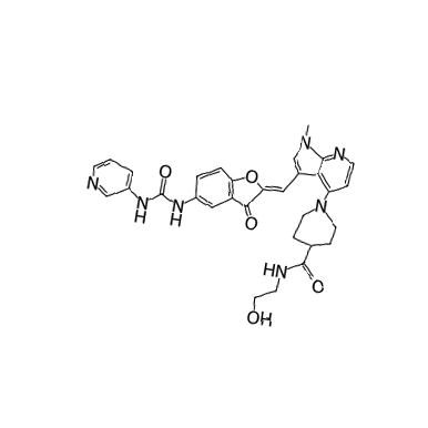 Cn1cc(C=C2Oc3ccc(NC(=O)Nc4cccnc4)cc3C2=O)c2c(N3CCC(C(=O)NCCO)CC3)ccnc21